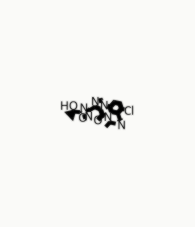 CC(C)n1c(=O)c2c(-c3noc(C4(O)CC4)n3)ncn2c2ccc(Cl)c(C#N)c21